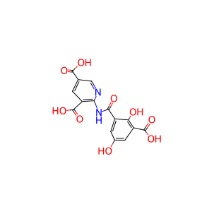 O=C(O)c1cnc(NC(=O)c2cc(O)cc(C(=O)O)c2O)c(C(=O)O)c1